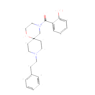 O=C(c1ccccc1O)N1CCOC2(CCN(CCc3ccccc3)CC2)C1